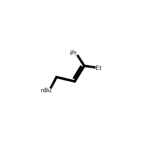 CCCCCC=C(CC)C(C)C